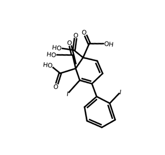 O=C(O)C1(C(=O)O)C=CC(c2ccccc2I)=C(I)C1(C(=O)O)C(=O)O